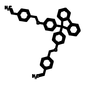 C=Cc1ccc(COc2ccc(C3(c4ccc(OCc5ccc(C=C)cc5)cc4)c4ccccc4-c4ccccc43)cc2)cc1